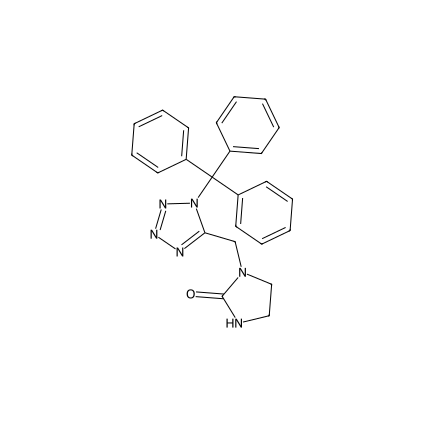 O=C1NCCN1Cc1nnnn1C(c1ccccc1)(c1ccccc1)c1ccccc1